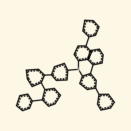 c1ccc(-c2ccc(N(c3ccc(-c4ccccc4-c4ccccc4-c4ccccc4)cc3)c3ccc(-c4ccccc4)cc3-c3ccccc3)cc2)cc1